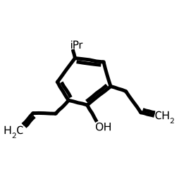 [CH2]C(C)c1cc(CC=C)c(O)c(CC=C)c1